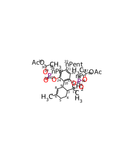 C=C(C)C1CCC(C)=CC1c1c(OP(=O)(CCC)OC(C)OC(C)=O)cc(CCCCC)cc1OP(=O)(CCC)OC(C)OC(C)=O